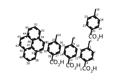 Cc1ccc(C(=O)O)cc1.Cc1ccc(C(=O)O)cc1.Cc1ccc(C(=O)O)cc1.Cc1ccc(C(=O)O)cc1.c1cc2ccc3cccc4ccc(c1)c2c34